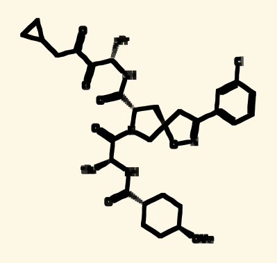 CCC[C@H](NC(=O)[C@@H]1C[C@]2(CC(c3cccc(Cl)c3)=NO2)CN1C(=O)[C@@H](NC(=O)[C@H]1CC[C@H](OC)CC1)C(C)(C)C)C(=O)C(=O)CC1CC1